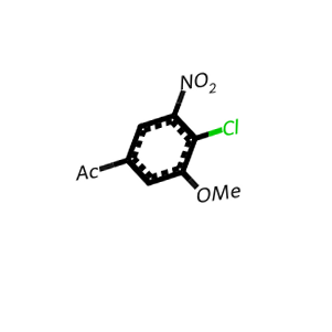 COc1cc(C(C)=O)cc([N+](=O)[O-])c1Cl